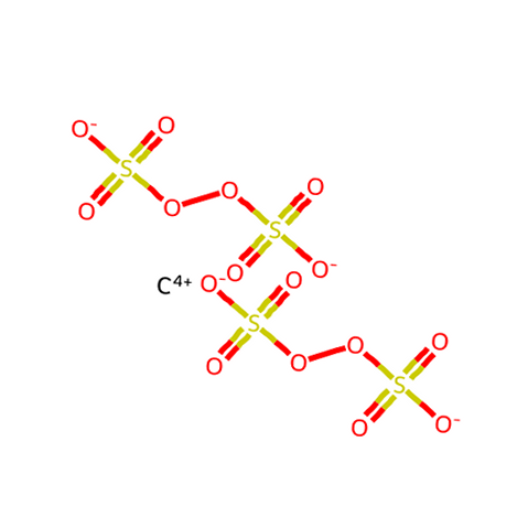 O=S(=O)([O-])OOS(=O)(=O)[O-].O=S(=O)([O-])OOS(=O)(=O)[O-].[C+4]